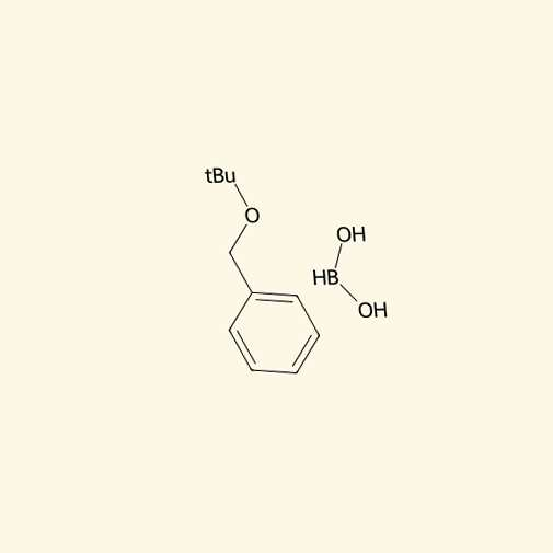 CC(C)(C)OCc1ccccc1.OBO